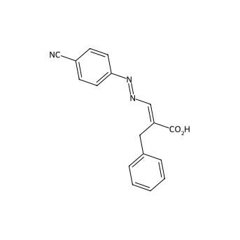 N#Cc1ccc(N=NC=C(Cc2ccccc2)C(=O)O)cc1